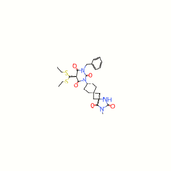 CCSC(SCC)=C1C(=O)N(Cc2ccccc2)C(=O)N(C2CCC3(CC2)CC2(C3)NC(=O)N(C)C2=O)C1=O